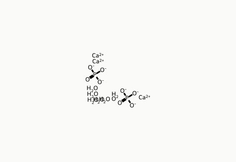 O.O.O.O.O.O.O=P([O-])([O-])[O-].O=P([O-])([O-])[O-].[Ca+2].[Ca+2].[Ca+2]